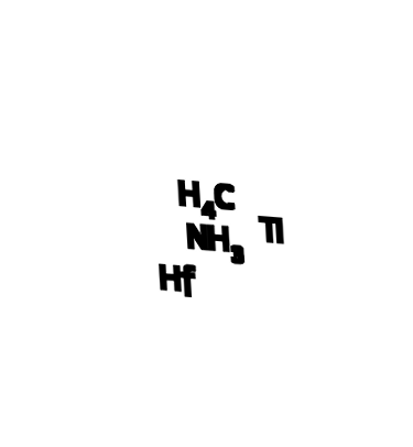 C.N.[Hf].[Ti]